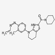 C=C/N=N\c1ccc(N2CCCc3cc(C(=O)N4CCCCC4)[nH]c32)cc1C